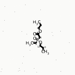 CCCOC(=O)CP(=O)(CC)OCCC